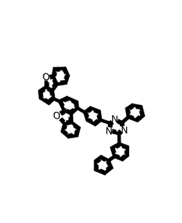 c1ccc(-c2cccc(-c3nc(-c4ccccc4)nc(-c4ccc(-c5ccc(-c6cccc7oc8ccccc8c67)c6oc7ccccc7c56)cc4)n3)c2)cc1